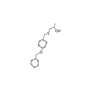 CC(O)CSCc1ccc(OCc2ccccc2)cc1